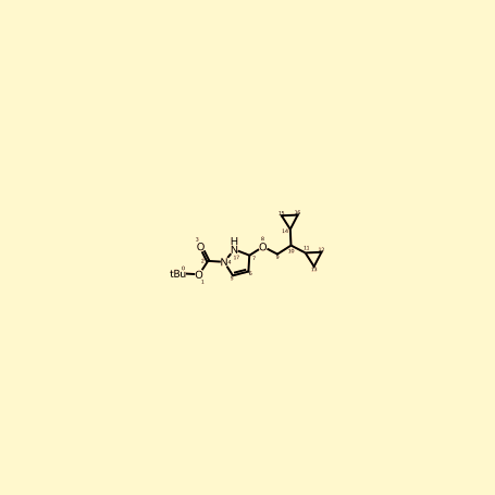 CC(C)(C)OC(=O)N1C=CC(OCC(C2CC2)C2CC2)N1